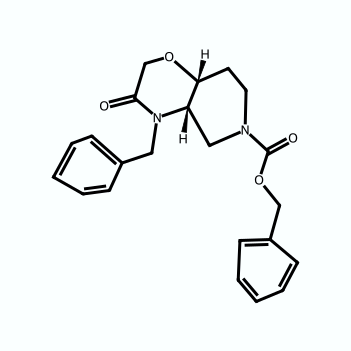 O=C(OCc1ccccc1)N1CC[C@H]2OCC(=O)N(Cc3ccccc3)[C@H]2C1